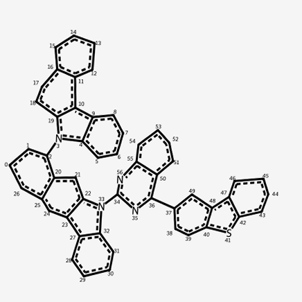 c1cc(-n2c3ccccc3c3c4ccccc4ccc32)c2cc3c(cc2c1)c1ccccc1n3-c1nc(-c2ccc3sc4ccccc4c3c2)c2ccccc2n1